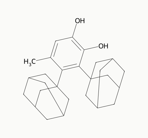 Cc1cc(O)c(O)c(C23CC4CC(CC(C4)C2)C3)c1C12CC3CC(CC(C3)C1)C2